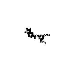 CSc1cc(N)nc(SC(C)c2cc3cc(C)n(C)c3cn2)n1